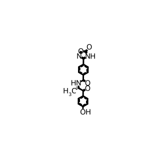 C[C@H](NC(=O)c1ccc(-c2noc(=O)[nH]2)cc1)C(=O)c1ccc(O)cc1